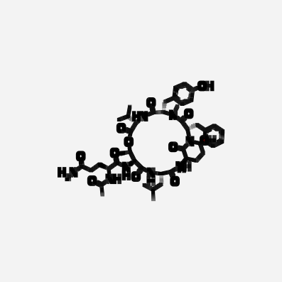 CC(=O)N[C@@H](CCC(N)=O)C(=O)N[C@@H]1C(=O)N[C@@H](CC(C)C)C(=O)N[C@H]2CC[C@@H](O)N(C2=O)[C@@H](Cc2ccccc2)C(=O)N(C)[C@@H](Cc2ccc(O)cc2)C(=O)N[C@@H](C(C)C)C(=O)O[C@@H]1C